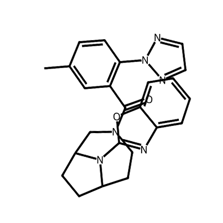 Cc1ccc(-n2nccn2)c(C(=O)N2CCC3CCC(C2)N3c2nc3ccccc3o2)c1